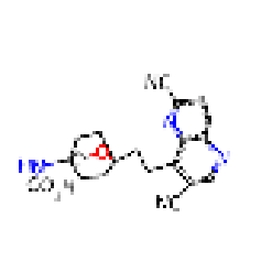 N#Cc1ccc2ncc(C#N)c(CCC34CCC(NC(=O)O)(CC3)CO4)c2n1